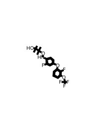 CC(C)(O)C(C)(C)ONc1ccc(Oc2cccc(OC(F)(F)F)c2F)cc1F